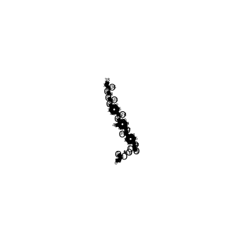 C=CC(=O)OCOOC(=O)Oc1ccc(C(=O)Oc2ccc(OC(=O)c3ccc(OC(=O)OCOC(=O)C=C)cc3)c(C)c2)cc1